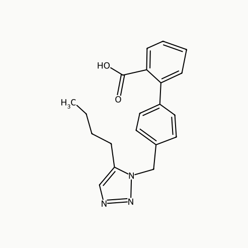 CCCCc1cnnn1Cc1ccc(-c2ccccc2C(=O)O)cc1